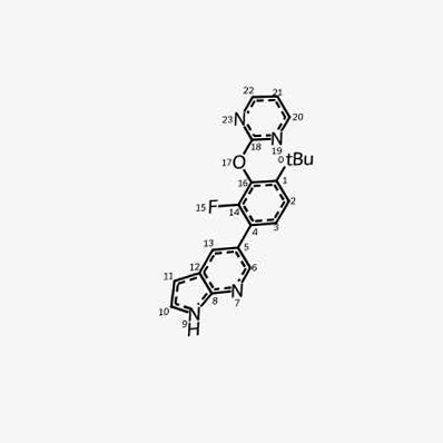 CC(C)(C)c1ccc(-c2cnc3[nH]ccc3c2)c(F)c1Oc1ncccn1